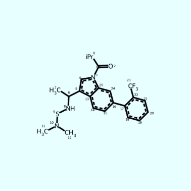 CC(C)C(=O)n1cc(C(C)NSN(C)C)c2ccc(-c3ccccc3C(F)(F)F)cc21